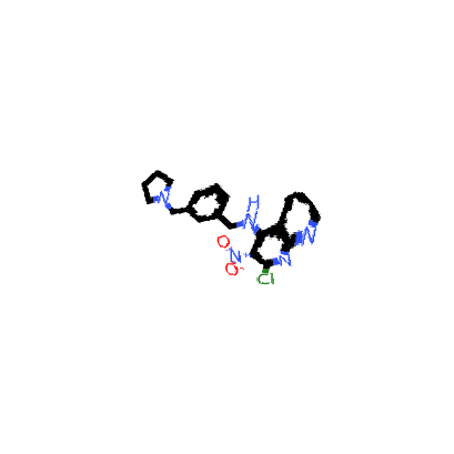 O=[N+]([O-])c1c(Cl)nc2ncccc2c1NCc1cccc(CN2CCCC2)c1